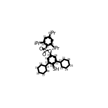 CC(C)c1cc(C(C)C)c(S(=O)(=O)Oc2cc(C3CCCCC3)c(S)c(C3CCCCC3)c2)c(C(C)C)c1